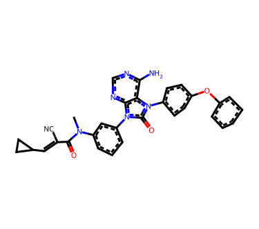 CN(C(=O)/C(C#N)=C/C1CC1)c1cccc(-n2c(=O)n(-c3ccc(Oc4ccccc4)cc3)c3c(N)ncnc32)c1